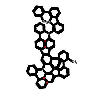 Cc1ccccc1-c1cccc2c1oc1c(N(c3ccc4c(c3)oc3cc(N(c5ccccc5-c5ccccc5)c5cccc6c5oc5c(-c7ccccc7C)cccc56)c5ccccc5c34)c3ccccc3-c3ccccc3)cccc12